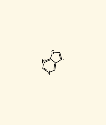 [c]1csc2ncncc12